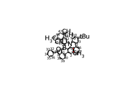 Cc1cc2c3c(c1)N(c1ccc(C(C)(C)C)cc1-c1ccccc1)c1cc4c(cc1B3c1oc(-c3ccccc3)c3cccc-2c13)C(C)(C)CCC4(C)C